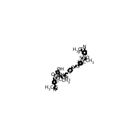 Cc1ncsc1-c1ccc(CNC(=O)[C@@H]2C[C@@H](O)CN2C(=O)[C@@H](NC(=O)CCN2CCC(OCCOc3ccc(N4C(=S)N(c5ccc(C#N)c(C(C)(F)F)c5)C(=O)C4(C)C)cc3)CC2)C(C)(C)C)cc1